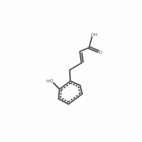 O=C(O)C=CCc1ccccc1O